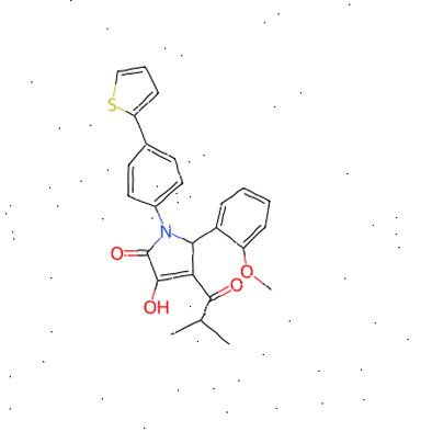 COc1ccccc1C1C(C(=O)C(C)C)=C(O)C(=O)N1c1ccc(-c2cccs2)cc1